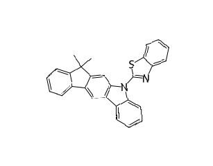 CC1(C)c2ccccc2-c2cc3c4ccccc4n(-c4nc5ccccc5s4)c3cc21